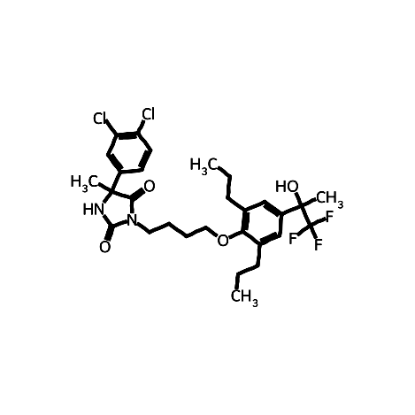 CCCc1cc(C(C)(O)C(F)(F)F)cc(CCC)c1OCCCCN1C(=O)NC(C)(c2ccc(Cl)c(Cl)c2)C1=O